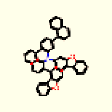 c1ccc(-c2ccc(-c3cccc4ccccc34)cc2N(c2ccc3c(c2)oc2ccccc23)c2ccccc2-c2cccc3oc4ccccc4c23)cc1